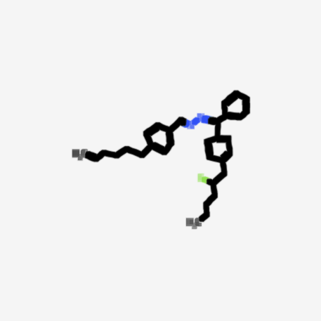 C=CCCCCc1ccc(C=NN=C(c2ccccc2)c2ccc(CC(F)CCCC)cc2)cc1